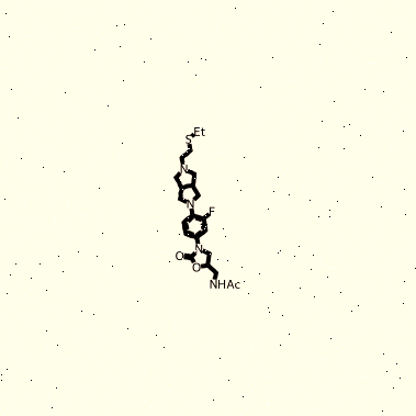 CCSCCN1CC2CN(c3ccc(N4CC(CNC(C)=O)OC4=O)cc3F)CC2C1